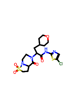 O=C(Nc1ncc(Cl)s1)C(CC1CCOCC1)N1CCN2C(CCS2(=O)=O)C1=O